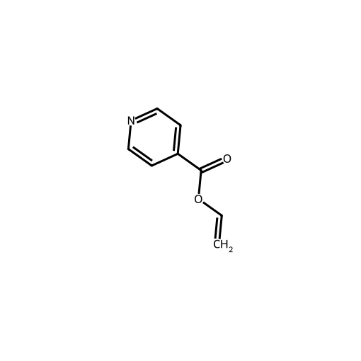 C=COC(=O)c1ccncc1